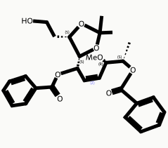 CO[C@H](/C=C\C(OC(=O)c1ccccc1)[C@H]1OC(C)(C)O[C@H]1CCO)[C@H](C)OC(=O)c1ccccc1